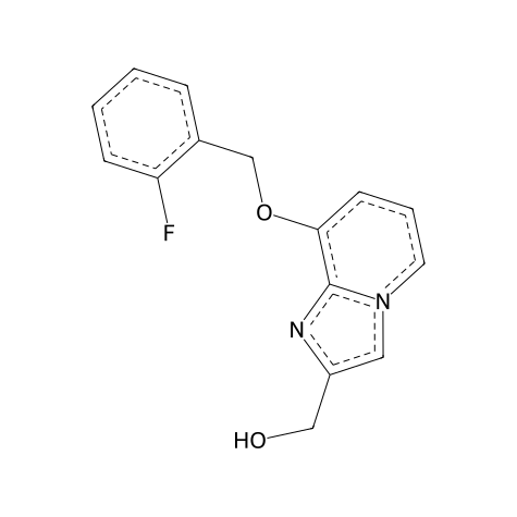 OCc1cn2cccc(OCc3ccccc3F)c2n1